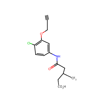 C#CCOc1cc(NC(=O)CC(CC(=O)O)C(F)(F)F)ccc1Cl